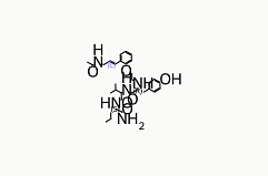 CCC[C@H](NC(=O)C(NC(=O)[C@@H](Cc1ccc(O)cc1)NCCOc1ccccc1/C=C/CNC(C)=O)C(C)C)C(N)=O